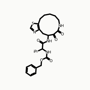 CC(C)C(NC(=O)OCc1ccccc1)C(=O)NC1Cc2ncsc2CCCCCNC(=O)C1=O